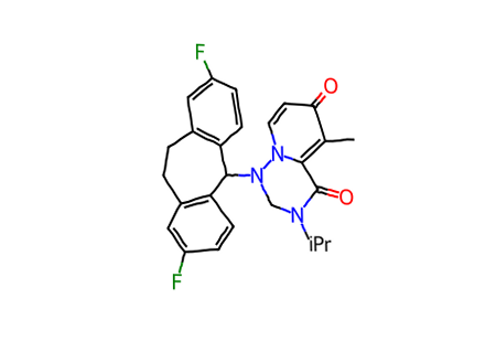 Cc1c2n(ccc1=O)N(C1c3ccc(F)cc3CCc3cc(F)ccc31)CN(C(C)C)C2=O